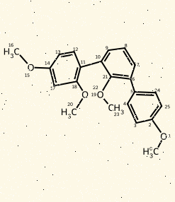 COc1ccc(-c2[c]ccc(-c3ccc(OC)cc3OC)c2OC)cc1